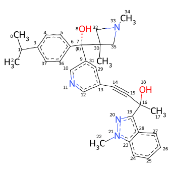 CC(C)c1ccc([C@](O)(c2cncc(C#CC(C)(O)c3nn(C)c4ccccc34)c2)C2(C)CN(C)C2)cc1